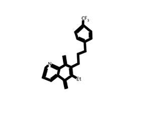 C=c1c(CC)c(CCCc2ccc(C(F)(F)F)cc2)c(=C)c2ncccc12